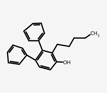 CCCCCc1c(O)ccc(-c2ccccc2)c1-c1ccccc1